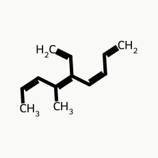 C=C\C=C/C(C=C)=C(C)/C=C\C